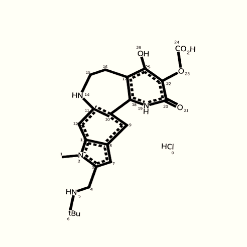 Cl.Cn1c(CNC(C)(C)C)cc2cc3c(cc21)NCCc1c-3[nH]c(=O)c(OC(=O)O)c1O